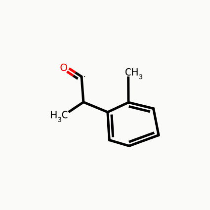 Cc1ccccc1C(C)[C]=O